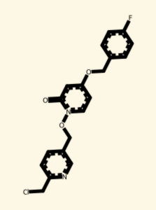 O=c1cc(OCc2ccc(F)cc2)ccn1OCc1ccc(CCl)nc1